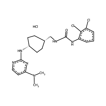 CN(C)c1ccnc(N[C@H]2CC[C@@H](CNC(=O)Nc3cccc(Cl)c3Cl)CC2)n1.Cl